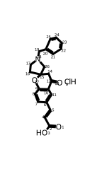 Cl.O=C(O)C=Cc1ccc2c(c1)C(=O)CC1(CCN(Cc3ccccc3)C1)O2